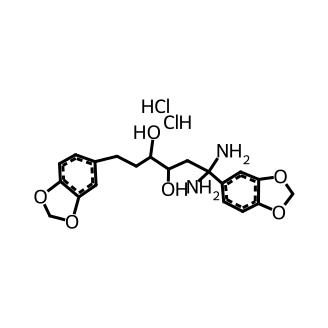 Cl.Cl.NC(N)(CC(O)C(O)CCc1ccc2c(c1)OCO2)c1ccc2c(c1)OCO2